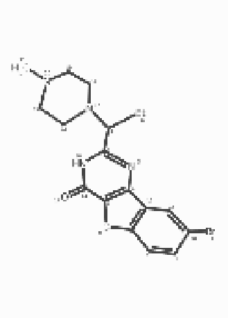 CCC(c1nc2c(oc3ccc(Br)cc32)c(=O)[nH]1)N1CCN(C)CC1